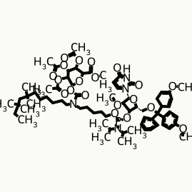 CCC(C)(C)CC(C)(C)CCCCCCN(CCCCCOP(OC1C(OC)[C@H](n2ccc(=O)[nH]c2=O)O[C@@H]1COC(c1ccccc1)(c1ccc(OC)cc1)C1C=CC(OC)=CC1)N(C(C)C)C(C)C)C(=O)OC1OC(C(=O)OC)C(OC(C)=O)C(OC(C)=O)C1OC(C)=O